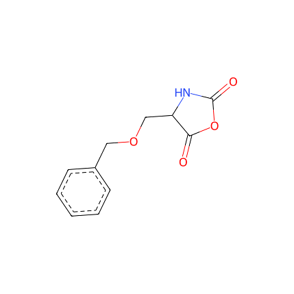 O=C1NC(COCc2ccccc2)C(=O)O1